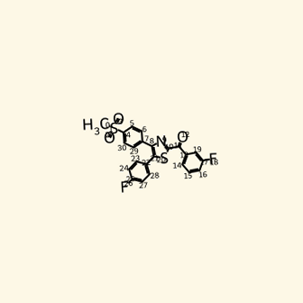 CS(=O)(=O)c1ccc(-c2nc(C(=O)c3cccc(F)c3)sc2-c2ccc(F)cc2)cc1